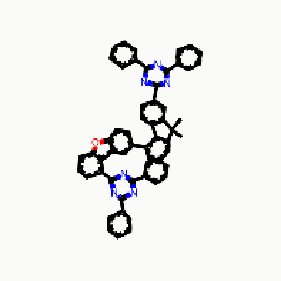 CC1(C)c2cc(-c3nc(-c4ccccc4)nc(-c4ccccc4)n3)ccc2-c2c(-c3ccc4oc5cccc(-c6nc(-c7ccccc7)nc(-c7ccccc7)n6)c5c4c3)cccc21